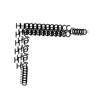 CCO.CCO.CCO.CCO.CCO.CCO.CCO.CCO.CCO.CCO.CCO.CCO.CCO.CCO.CCO.[O].[O].[O].[O].[O].[O].[O].[O].[O].[O].[O].[O].[O]